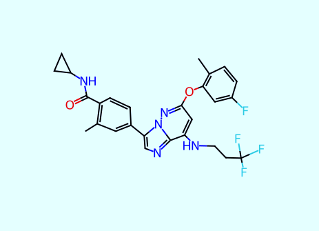 Cc1ccc(F)cc1Oc1cc(NCCC(F)(F)F)c2ncc(-c3ccc(C(=O)NC4CC4)c(C)c3)n2n1